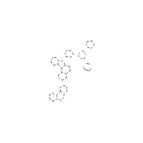 C1=C=CC(c2nc(-c3ccccc3)nc(-c3cccc(-n4c5ccccc5c5c6ccc(-c7ccc8ccc9ccccc9c8c7)cc6ccc54)c3)n2)=CC=1